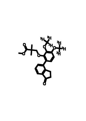 [2H]C([2H])([2H])Oc1ccc(-c2cccc3c2CCC3=O)c(OCC(C)(C)C(=O)OC)c1OC([2H])([2H])[2H]